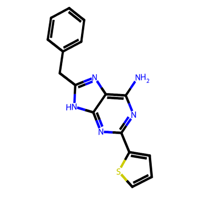 Nc1nc(-c2cccs2)nc2[nH]c(Cc3ccccc3)nc12